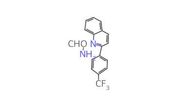 FC(F)(F)c1ccc(-c2ccc3ccccc3n2)cc1.NC=O